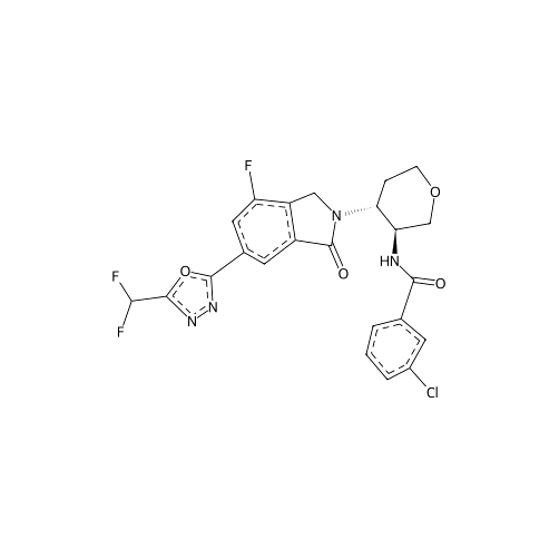 O=C(N[C@@H]1COCC[C@H]1N1Cc2c(F)cc(-c3nnc(C(F)F)o3)cc2C1=O)c1cccc(Cl)c1